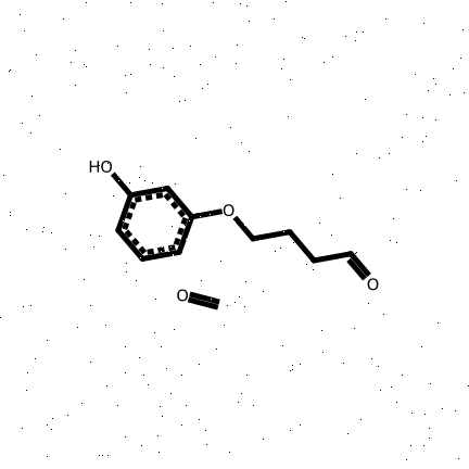 C=O.O=CCCCOc1cccc(O)c1